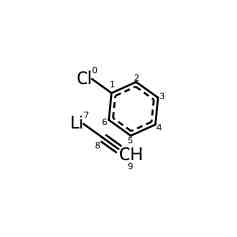 Clc1ccccc1.[Li][C]#C